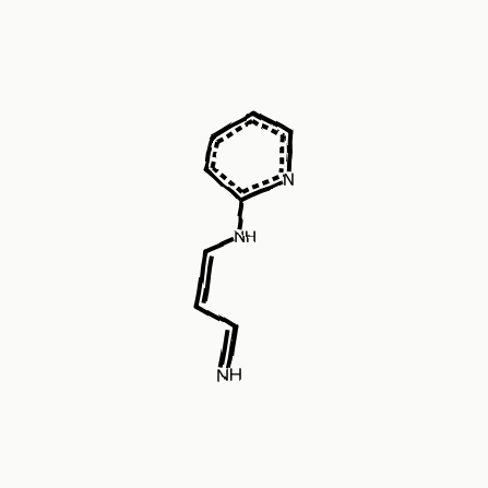 N=C/C=C\Nc1ccccn1